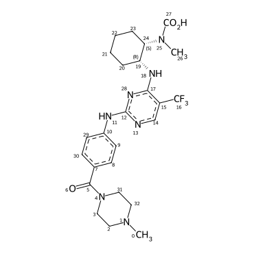 CN1CCN(C(=O)c2ccc(Nc3ncc(C(F)(F)F)c(N[C@@H]4CCCC[C@@H]4N(C)C(=O)O)n3)cc2)CC1